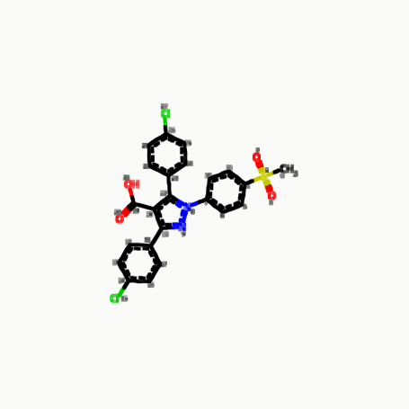 CS(=O)(=O)c1ccc(-n2nc(-c3ccc(Cl)cc3)c(C(=O)O)c2-c2ccc(Cl)cc2)cc1